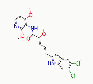 COC(=CC=Cc1cc2cc(Cl)c(Cl)cc2[nH]1)C(=O)Nc1c(OC)ccnc1OC